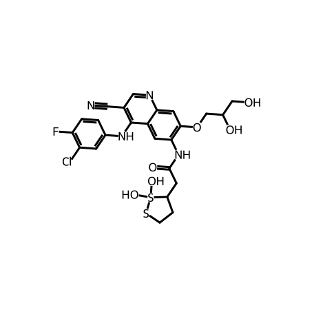 N#Cc1cnc2cc(OCC(O)CO)c(NC(=O)CC3CCSS3(O)O)cc2c1Nc1ccc(F)c(Cl)c1